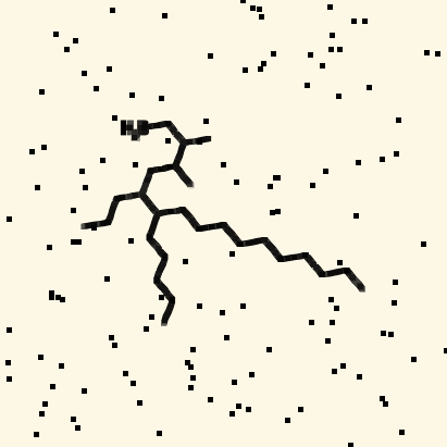 BCC(C)C(C)CC(CCC)C(CCCCC)CCCCCCCCCC